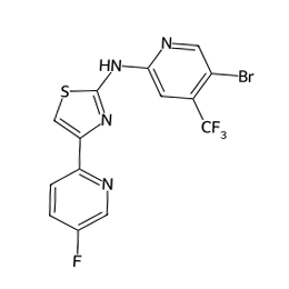 Fc1ccc(-c2csc(Nc3cc(C(F)(F)F)c(Br)cn3)n2)nc1